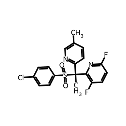 Cc1ccc(C(C)(c2nc(F)ccc2F)S(=O)(=O)c2ccc(Cl)cc2)nc1